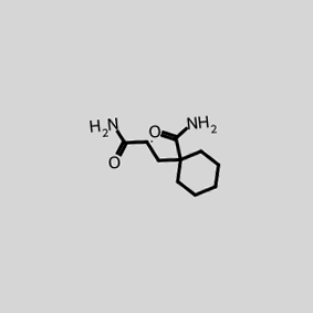 NC(=O)[CH]CC1(C(N)=O)CCCCC1